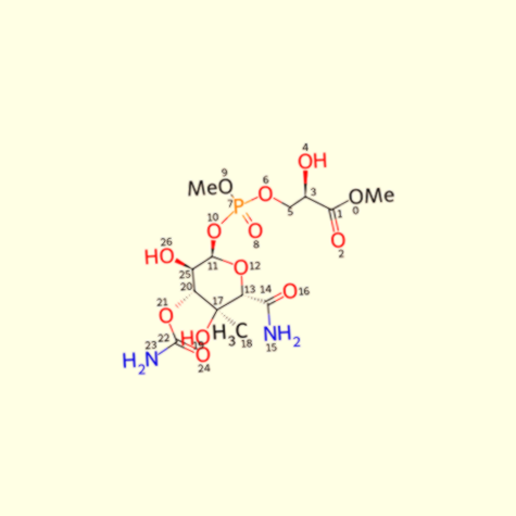 COC(=O)[C@H](O)COP(=O)(OC)O[C@H]1O[C@H](C(N)=O)[C@@](C)(O)[C@H](OC(N)=O)[C@H]1O